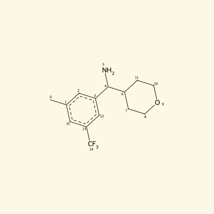 Cc1cc(C(N)C2CCOCC2)cc(C(F)(F)F)c1